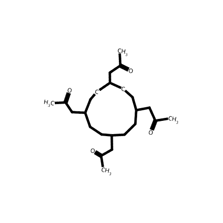 CC(=O)CC1CCC(CC(C)=O)CCC(CC(C)=O)CCC(CC(C)=O)CC1